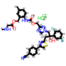 CNCC(=O)OCc1cc(C)ccc1NC(=O)OCC1=NN(C[C@](O)(c2cc(F)ccc2F)[C@@H](C)c2nc(-c3ccc(C#N)cc3)cs2)C=[N+]1.Cl.[Cl-]